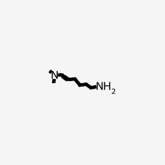 CN(C)C=CCCCCN